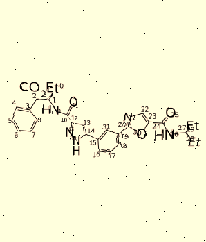 CCOC(=O)[C@H](Cc1ccccc1)NC(=O)c1cc(-c2cccc(-c3ncc(C(=O)NC(CC)CC)o3)c2)[nH]n1